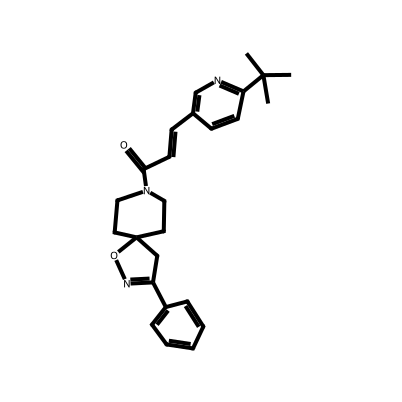 CC(C)(C)c1ccc(C=CC(=O)N2CCC3(CC2)CC(c2ccccc2)=NO3)cn1